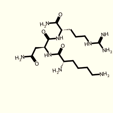 N=C(N)NCCC[C@H](NC(=O)[C@H](CC(N)=O)NC(=O)[C@@H](N)CCCCN)C(N)=O